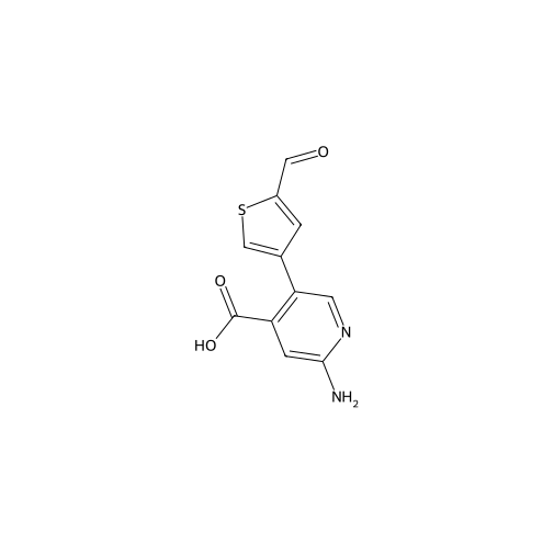 Nc1cc(C(=O)O)c(-c2csc(C=O)c2)cn1